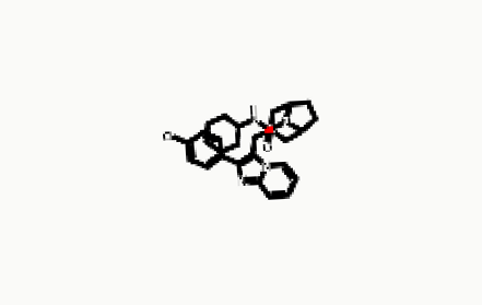 O=C(NC1CCCCC1)N1C2CCC1CN(Cc1c(-c3ccc(Cl)cc3)nc3ccccn13)C2